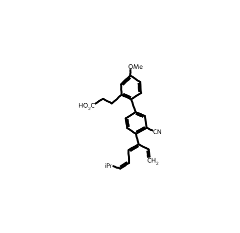 C=C/C(=C\C=C/C(C)C)c1ccc(-c2ccc(OC)cc2CCC(=O)O)cc1C#N